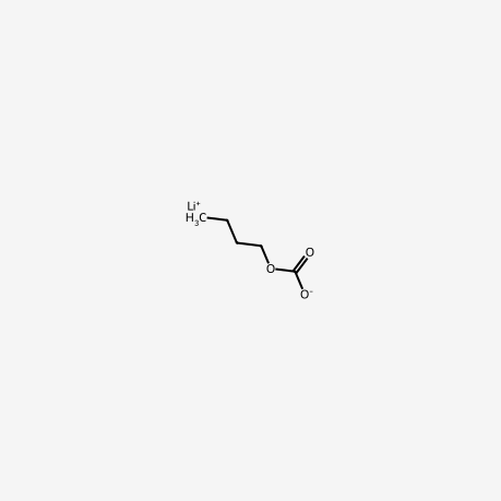 CCCCOC(=O)[O-].[Li+]